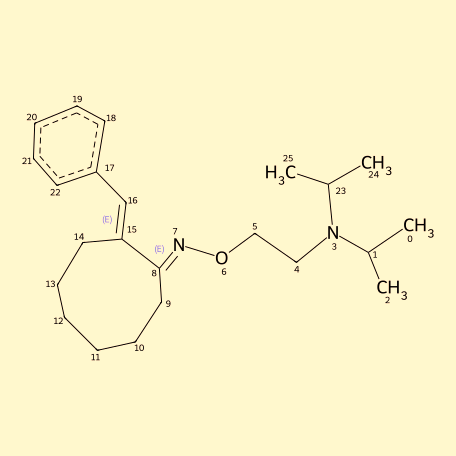 CC(C)N(CCO/N=C1\CCCCCC\C1=C/c1ccccc1)C(C)C